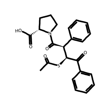 CC(=O)S[C@H](C(=O)c1ccccc1)[C@@H](C(=O)N1CCC[C@H]1C(=O)O)c1ccccc1